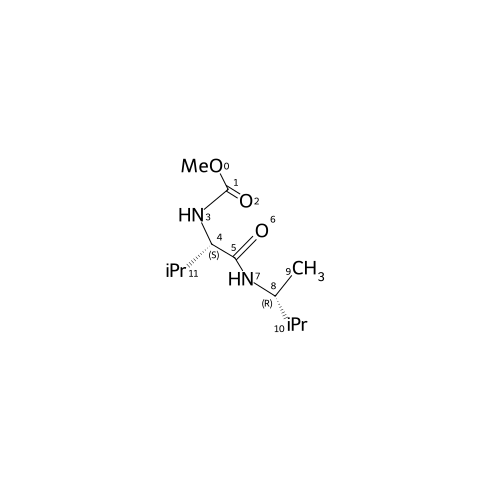 COC(=O)N[C@H](C(=O)N[C@H](C)C(C)C)C(C)C